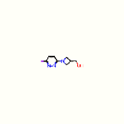 OCC1CN(c2ccc(I)nn2)C1